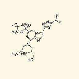 C[C@H]1CN(c2cc(S(=O)(=O)NC3(C)CC3)cn3c(-c4nnc(C(F)F)s4)cnc23)C[C@H](CO)N1